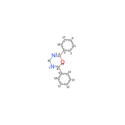 c1ccc(C2=NCN=C(c3ccccc3)O2)cc1